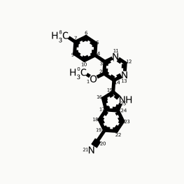 COc1c(-c2ccc(C)cc2)ncnc1-c1cc2cc(C#N)ccc2[nH]1